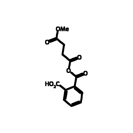 COC(=O)CCC(=O)OC(=O)c1ccccc1C(=O)O